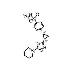 NS(=O)(=O)c1ccc([C@@H]2C[C@H]2c2nsc(N3CCCCC3)n2)cc1